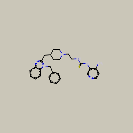 Nc1ccncc1NC(=S)NCCN1CCC(Cc2nc3ccccc3n2Cc2ccccc2)CC1